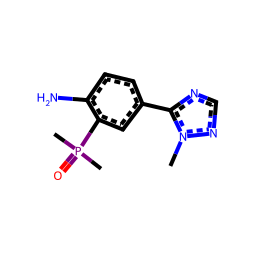 Cn1ncnc1-c1ccc(N)c(P(C)(C)=O)c1